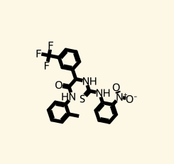 Cc1ccccc1NC(=O)C(NC(=S)Nc1ccccc1[N+](=O)[O-])c1cccc(C(F)(F)F)c1